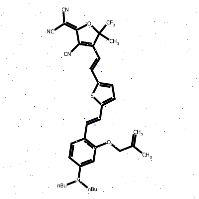 [C-]#[N+]C1=C(/C=C/c2ccc(/C=C/c3ccc(N(CCCC)CCCC)cc3OCC(=C)C)s2)C(C)(C(F)(F)F)OC1=C(C#N)C#N